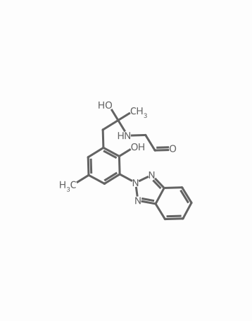 Cc1cc(CC(C)(O)NCC=O)c(O)c(-n2nc3ccccc3n2)c1